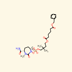 C[C@H]1CC[C@@H](C(N)=O)N(C)C(=O)N1OS(=O)(=O)OCC(C)(C)CCOC(=O)CCCCC(=O)OCc1ccccc1